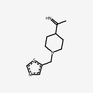 CC(=N)C1CCN(Cc2cncs2)CC1